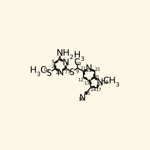 CSc1cc(N)nc(SC(C)c2cc3c(C#N)cn(C)c3cn2)n1